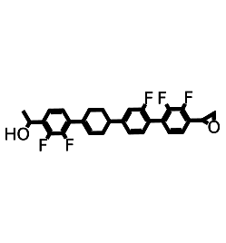 CC(O)c1ccc(C2=CCC(c3ccc(-c4ccc(C5CO5)c(F)c4F)c(F)c3)CC2)c(F)c1F